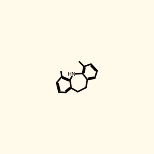 Cc1cccc2c1Nc1c(C)cccc1CC2